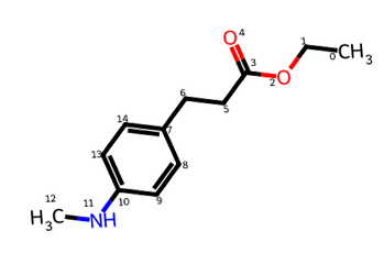 CCOC(=O)CCc1ccc(NC)cc1